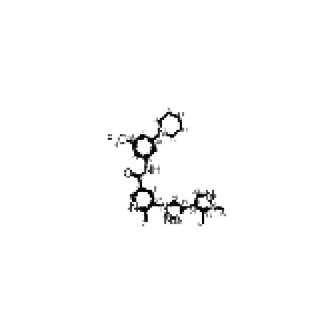 Cc1ncc(C(=O)Nc2cc(N3CCCCC3)cc(C(F)(F)F)c2)cc1-n1cc(-c2cnn(C)c2C)nn1